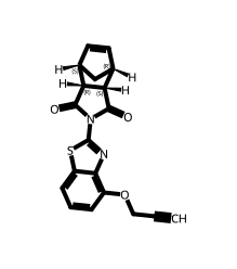 C#CCOc1cccc2sc(N3C(=O)[C@@H]4[C@H](C3=O)[C@@H]3C=C[C@H]4C3)nc12